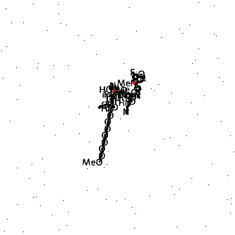 C=CCOC(=O)NC(CC(=O)N[C@H](C(=O)N[C@@H](CCCN(C)C(C)(O)NC)C(=O)Nc1ccc(OC(=O)N(C)Cc2ccc(/C(NC)=C3\CCN(C)C(=O)c4cc(F)cc(C)c43)cc2)c(C(=O)NCCCN(C)C)c1)C(C)C)C(=O)NCCOCCOCCOCCOCCOCCOCCOCCOC